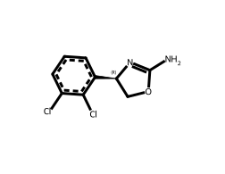 NC1=N[C@H](c2cccc(Cl)c2Cl)CO1